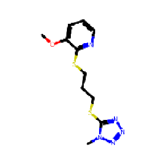 COc1cccnc1SCCCSc1nnnn1C